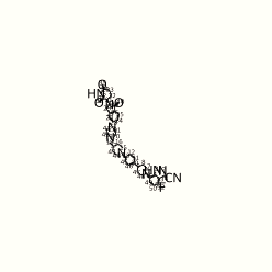 N#Cc1n[nH]c2c(N3CCC(c4ccc(N5CCC(CN6CCN(c7ccc8c(c7)CN(C7CCC(=O)NC7=O)C8=O)CC6)CC5)cc4)CC3)ccc(F)c12